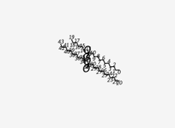 CCCCCCCCCCCC(=O)OCCCCCC.CCCCCCCCCCCC(=O)OCCCCCCCCCC